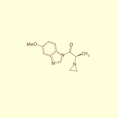 COc1ccc2c(c1)ncn2C(=O)[C@@H](C)N1CC1